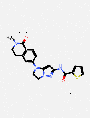 CN1CCc2cc(N3CCn4nc(NC(=O)c5cccs5)cc43)ccc2C1=O